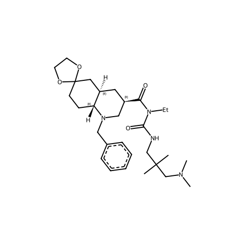 CCN(C(=O)NCC(C)(C)CN(C)C)C(=O)[C@@H]1C[C@@H]2CC3(CC[C@H]2N(Cc2ccccc2)C1)OCCO3